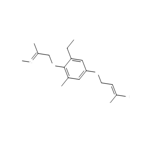 CCc1cc(OCC=C(Cl)Cl)cc(C)c1OCC(C)=NO